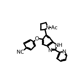 CC(=O)N1CCCC1c1cc2[nH]c(-c3ccccn3)nc2cc1Oc1ccc(C#N)cc1